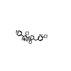 O=C1C(Cc2ccc(Cl)nc2)CCN1c1[nH]nc(-c2ccncc2)c1Cl